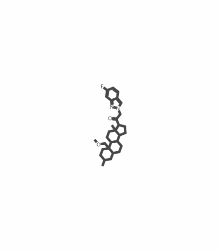 COCC12CCC(C)CC1CCC1C3CCC(C(=O)Cn4cc5ccc(F)cc5n4)C3(C)CCC12